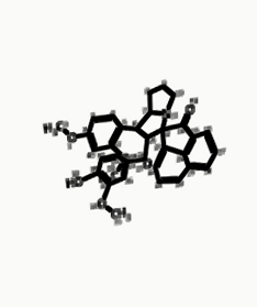 COc1ccc(C2C3CCCN3C3(C(=O)c4cccc5cccc3c45)C2C(=O)c2ccc(O)c(OC)c2)c(OC)c1